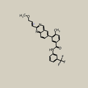 COC/C=C/c1ncc2cc(-c3cc(C(=O)Nc4cccc(C(F)(F)F)c4)ccc3C)ccc2n1